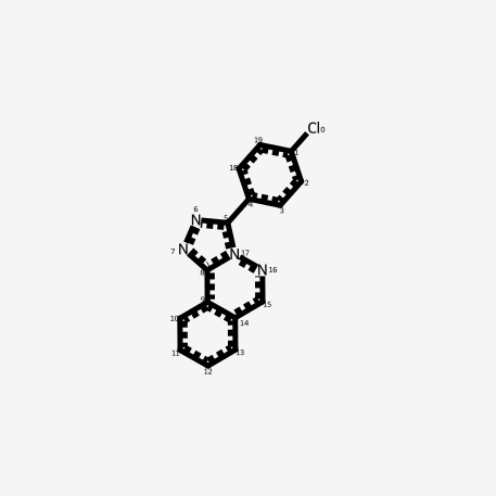 Clc1ccc(-c2nnc3c4ccccc4cnn23)cc1